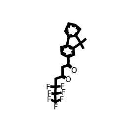 CC1(C)c2ccccc2-c2ccc(C(=O)CC(=O)CC(F)(F)C(F)(F)C(F)(F)F)cc21